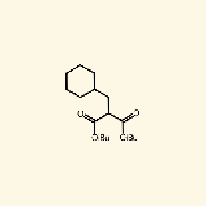 CC(C)COC(=O)C(CC1CCCCC1)C(=O)OCC(C)C